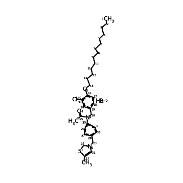 Br.CCCCCCCCCCCCCCOc1ccc(CN(C(C)=O)c2ccc(CN3C=C(C)SC3)cc2)cc1Cl